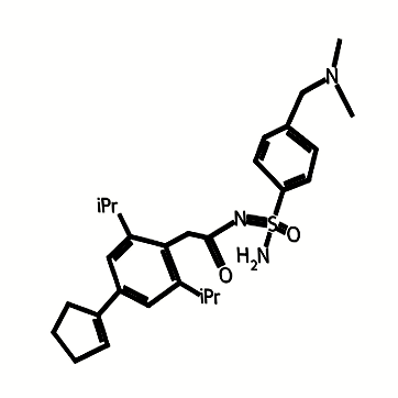 CC(C)c1cc(C2=CCCC2)cc(C(C)C)c1CC(=O)N=S(N)(=O)c1ccc(CN(C)C)cc1